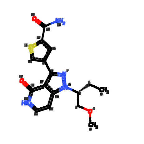 CC[C@H](COC)n1nc(-c2csc(C(N)=O)c2)c2c(=O)[nH]ccc21